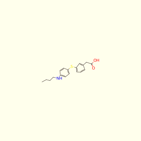 CCCCNc1ccc(Sc2cccc(CC(=O)O)c2)cc1